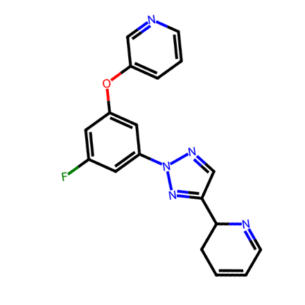 Fc1cc(Oc2cccnc2)cc(-n2ncc(C3CC=CC=N3)n2)c1